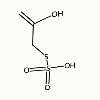 C=C(O)CSS(=O)(=O)O